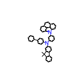 CC1(C)c2ccccc2-c2ccc(N(c3ccc(-c4ccccc4)cc3)c3cccc(-n4c5cccc6ccc7cccc4c7c65)c3)cc21